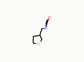 O=C=NCC1CCSC1